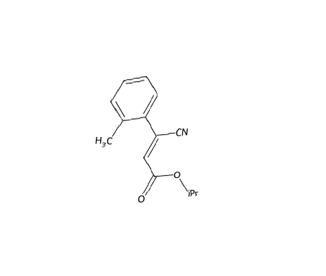 Cc1ccccc1C(C#N)=CC(=O)OC(C)C